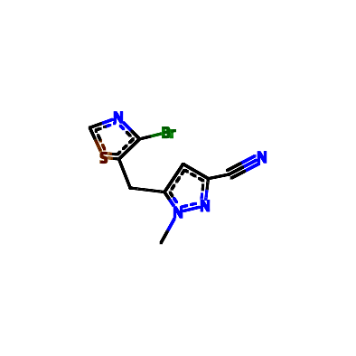 Cn1nc(C#N)cc1Cc1scnc1Br